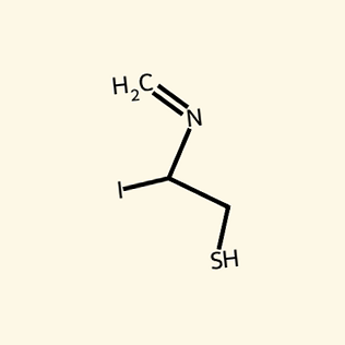 C=NC(I)CS